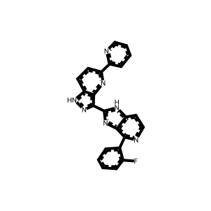 Fc1ccccc1-c1nccc2[nH]c(-c3n[nH]c4ccc(-c5ccccn5)nc34)nc12